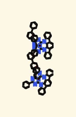 c1ccc(-c2cccc(-c3nc(-c4ccccc4)nc(-n4c5ccccc5c5ccc6c7ccccc7n(-c7nc(-c8ccccc8)nc(-c8cccc(-c9ccc(-c%10cccc(-n%11c%12ccccc%12c%12ccc%13c%14ccccc%14n(-c%14nc(-c%15ccccc%15)nc(-c%15ccccc%15)n%14)c%13c%12%11)n%10)cc9)c8)n7)c6c54)n3)c2)cc1